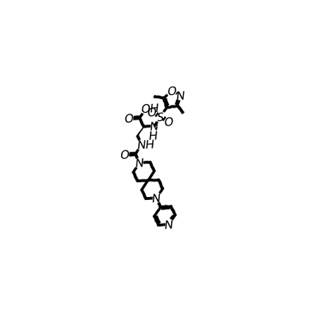 Cc1noc(C)c1S(=O)(=O)N[C@@H](CNC(=O)N1CCC2(CC1)CCN(c1ccncc1)CC2)C(=O)O